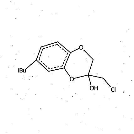 CCC(C)c1ccc2c(c1)OC(O)(CCl)CO2